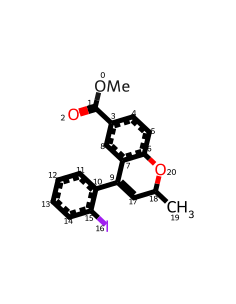 COC(=O)c1ccc2c(c1)C(c1ccccc1I)=CC(C)O2